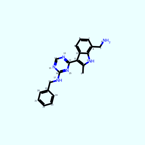 Cc1[nH]c2c(CN)cccc2c1-c1ncnc(NCc2ccccc2)n1